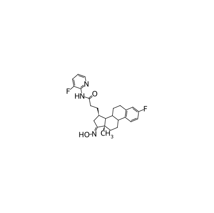 C[C@]12CCC3c4ccc(F)cc4CCC3C1[C@H](CCC(=O)Nc1ncccc1F)C/C2=N\O